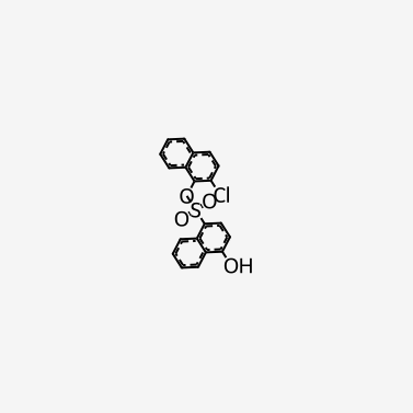 O=S(=O)(Oc1c(Cl)ccc2ccccc12)c1ccc(O)c2ccccc12